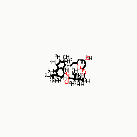 [2H]O[C@H]1CC(=O)OC(CC[C@@H]2[C@@H]3C(=C([2H])[C@]([2H])(C([2H])([2H])[2H])C([2H])([2H])C3OC(=O)[C@@]([2H])(C([2H])([2H])[2H])C([2H])([2H])C([2H])([2H])[2H])C([2H])=C([2H])[C@]2([2H])C)C1